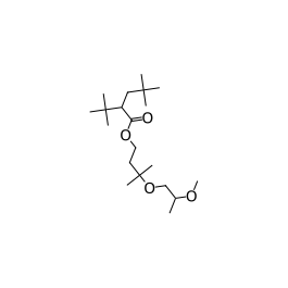 COC(C)COC(C)(C)CCOC(=O)C(CC(C)(C)C)C(C)(C)C